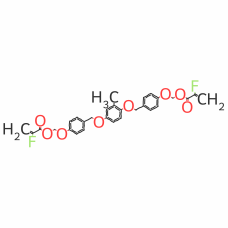 C=C(F)C(=O)OCOc1ccc(COc2ccc(OCc3ccc(OCOC(=O)C(=C)F)cc3)c(C)c2)cc1